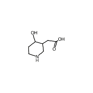 O=C(O)CC1CNCCC1O